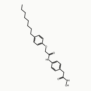 CCCCCCCCc1ccc(OCC(=O)Nc2ccc(CC(=O)NO)cc2)cc1